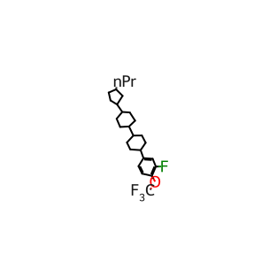 CCCC1CCC(C2CCC(C3CCC(c4ccc(OC(F)(F)F)c(F)c4)CC3)CC2)C1